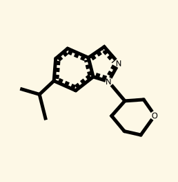 CC(C)c1ccc2cnn(C3CCCOC3)c2c1